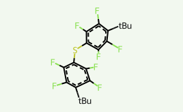 CC(C)(C)c1c(F)c(F)c(Sc2c(F)c(F)c(C(C)(C)C)c(F)c2F)c(F)c1F